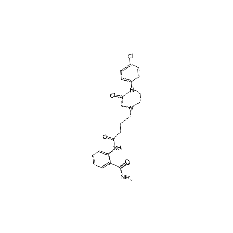 NC(=O)c1ccccc1NC(=O)CCCN1CCN(c2ccc(Cl)cc2)C(=O)C1